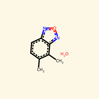 Cc1ccc2nonc2c1C.O